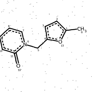 Cc1ccc(Cn2ccccc2=O)o1